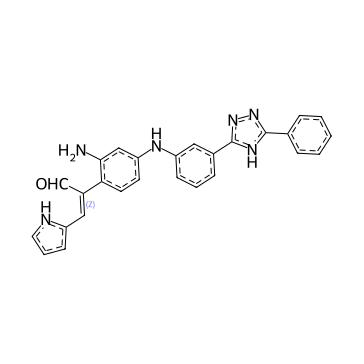 Nc1cc(Nc2cccc(-c3nnc(-c4ccccc4)[nH]3)c2)ccc1/C(C=O)=C/c1ccc[nH]1